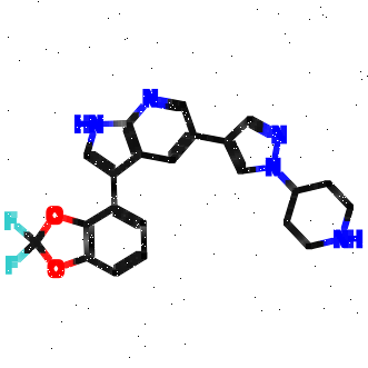 FC1(F)Oc2cccc(-c3c[nH]c4ncc(-c5cnn(C6CCNCC6)c5)cc34)c2O1